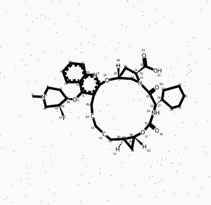 CN1CC[C@@H](Oc2c3c(nc4ccccc24)O[C@@H]2C[C@@H](C(=O)O)N(C2)C(=O)[C@H](C2CCCCC2)NC(=O)O[C@@H]2C[C@H]2CCCCC3)[C@@H](F)C1